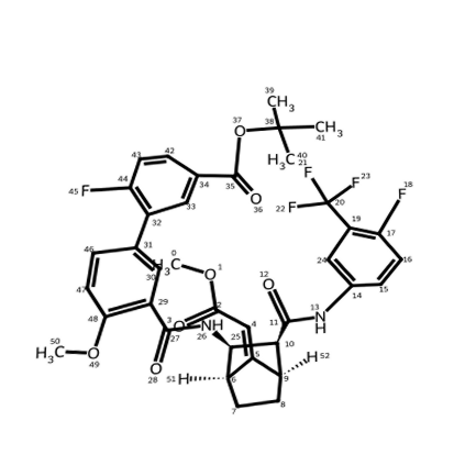 COC(=O)/C=C1\[C@H]2CC[C@@H]1[C@H](C(=O)Nc1ccc(F)c(C(F)(F)F)c1)[C@@H]2NC(=O)c1cc(-c2cc(C(=O)OC(C)(C)C)ccc2F)ccc1OC